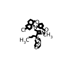 CC/C=C/C(C1CCC1CN1C[C@@]2(CCCc3cc(Cl)ccc32)COc2ccc(C(=O)NC)cc21)N1CCN2CCOCC2C1